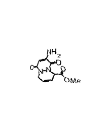 COC(=O)C1C=CCn2c(=O)cc(N)c(=O)n21